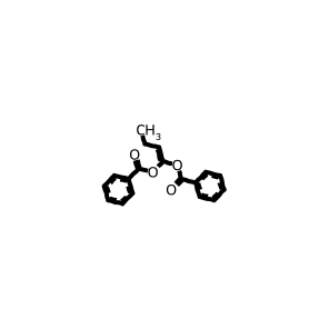 CCC=C(OC(=O)c1ccccc1)OC(=O)c1ccccc1